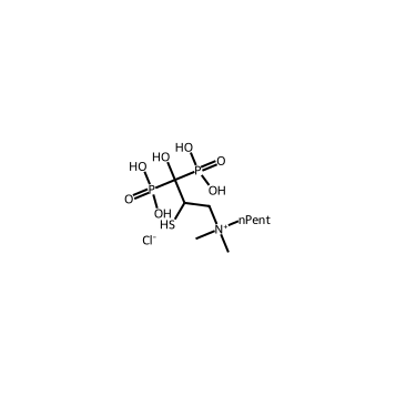 CCCCC[N+](C)(C)CC(S)C(O)(P(=O)(O)O)P(=O)(O)O.[Cl-]